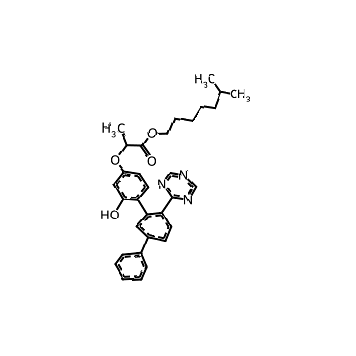 CC(C)CCCCCOC(=O)C(C)Oc1ccc(-c2cc(-c3ccccc3)ccc2-c2ncncn2)c(O)c1